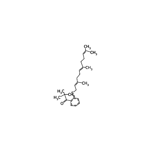 CC(C)=CCC/C(C)=C/CC/C(C)=C/CSc1ccccc1C(=O)C(C)(C)C